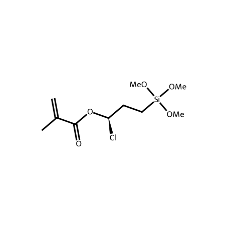 C=C(C)C(=O)O[C@H](Cl)CC[Si](OC)(OC)OC